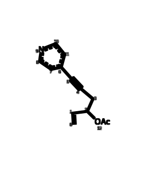 C=CC(CC#Cc1ccncc1)OC(C)=O